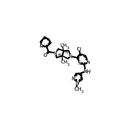 Cn1cc(Nc2ncc(Cl)c(N3C[C@]4(C)CN(C(=O)c5ccccn5)C[C@]4(C)C3)n2)cn1